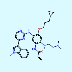 C=CC(=O)Nc1cc(Nc2nccc(-c3cn(C)c4ccccc34)n2)c(OCCCC2CC2)cc1N(C)CCN(C)C